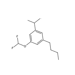 [CH2]C(C)c1cc(CCCC)cc(OC(F)F)c1